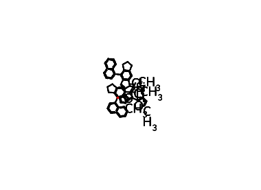 Cc1ccc(C2=Cc3c(cc4c(c3-c3cccc5ccccc35)CCC4)[CH]2[Zr]([Cl])([Cl])([CH]2C(c3ccc(C)o3)=Cc3c2cc2c(c3-c3cccc4ccccc34)CCC2)[SiH](C)C)o1